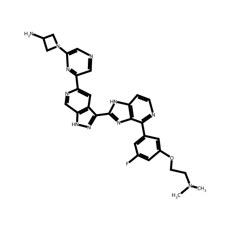 CN(C)CCOc1cc(F)cc(-c2nccc3[nH]c(-c4n[nH]c5cnc(-c6cncc(N7CC(N)C7)n6)cc45)nc23)c1